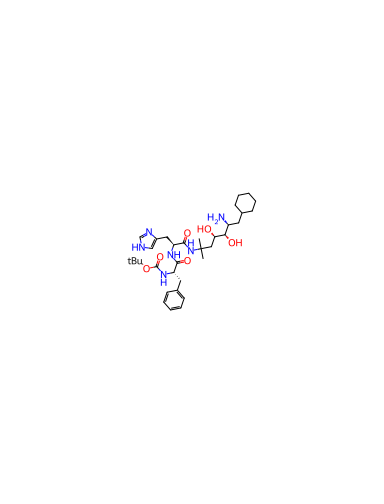 CC(C)(C[C@@H](O)[C@H](O)[C@@H](N)CC1CCCCC1)NC(=O)[C@H](Cc1c[nH]cn1)NC(=O)[C@H](Cc1ccccc1)NC(=O)OC(C)(C)C